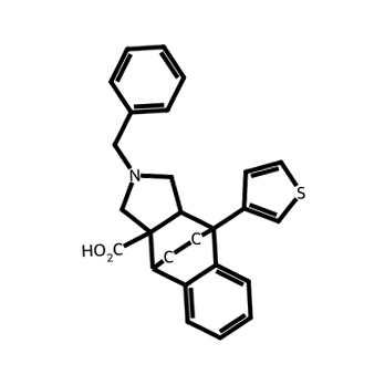 O=C(O)C12CN(Cc3ccccc3)CC1C1(c3ccsc3)CCC2c2ccccc21